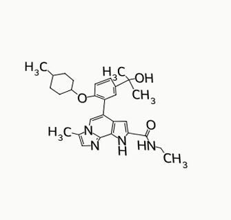 CCNC(=O)c1cc2c(-c3cc(C(C)(C)O)ccc3OC3CCC(C)CC3)cn3c(C)cnc3c2[nH]1